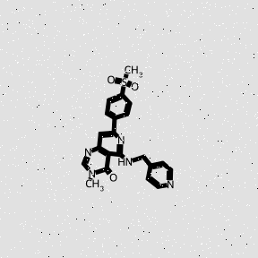 Cn1cnc2cc(-c3ccc(S(C)(=O)=O)cc3)nc(NCc3ccncc3)c2c1=O